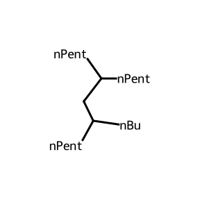 CCCCCC(CCCC)CC(CCCCC)CCCCC